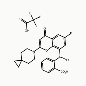 CCN(c1ccccc1C(=O)O)c1cc(F)cc2c(=O)cc(N3CCC4(CC3)CC4)oc12.O=C(O)C(F)(F)F